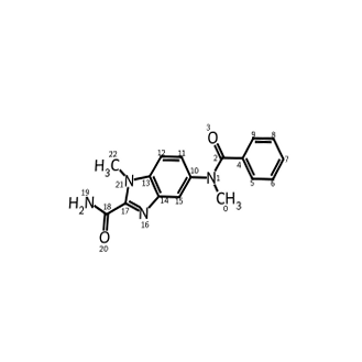 CN(C(=O)c1ccccc1)c1ccc2c(c1)nc(C(N)=O)n2C